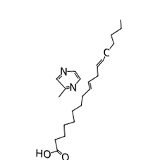 CCCCCC=CCC=CCCCCCCCC(=O)O.Cc1cnccn1